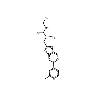 Cc1cc(-c2ccc3nc(C[C@H](N)C(=O)NCC#N)oc3c2)ccn1